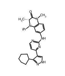 CC(C)N1c2cc(Nc3nccc(-c4c[nH]nc4C4CCCCC4)n3)ccc2N(C)C(=O)[C@H]1C